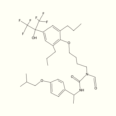 CCCc1cc(C(O)(C(F)(F)F)C(F)(F)F)cc(CCC)c1OCCCCN(C=O)C(=O)NC(C)c1ccc(OCC(C)C)cc1